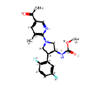 COC(=O)c1cnc(N2CC(NC(=O)OC(C)(C)C)C(c3cc(F)ccc3F)C2)c(C#N)c1